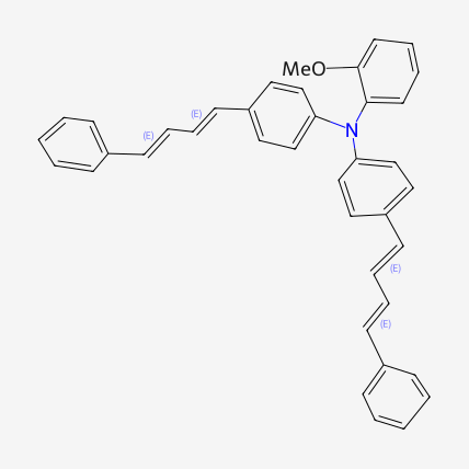 COc1ccccc1N(c1ccc(/C=C/C=C/c2ccccc2)cc1)c1ccc(/C=C/C=C/c2ccccc2)cc1